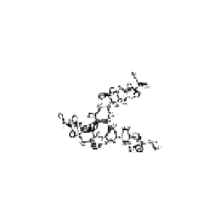 C=CC(=O)Oc1ccc(-c2ccc(-c3ccc(OC(O)C=C)cc3)cc2-c2cc(-c3cc4ccc(OC(=O)C(=C)C)cc4oc3=O)ccc2OC)c(CC)c1